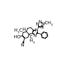 C[C@H]1C(O)=C(C#N)C[C@@]2(C)c3nc(-c4ccccc4)n(-c4nnn(C)n4)c3CC[C@H]12